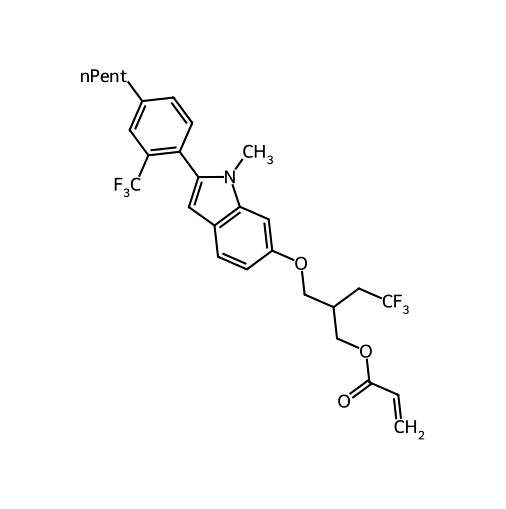 C=CC(=O)OCC(COc1ccc2cc(-c3ccc(CCCCC)cc3C(F)(F)F)n(C)c2c1)CC(F)(F)F